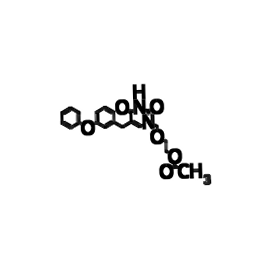 CC(=O)OCCOCn1cc(Cc2cccc(Oc3ccccc3)c2)c(=O)[nH]c1=O